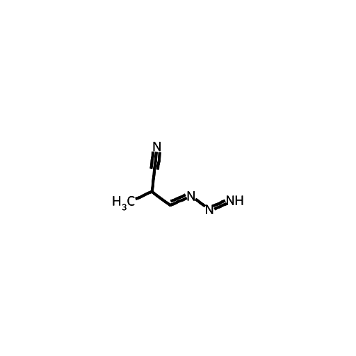 CC(C#N)C=NN=N